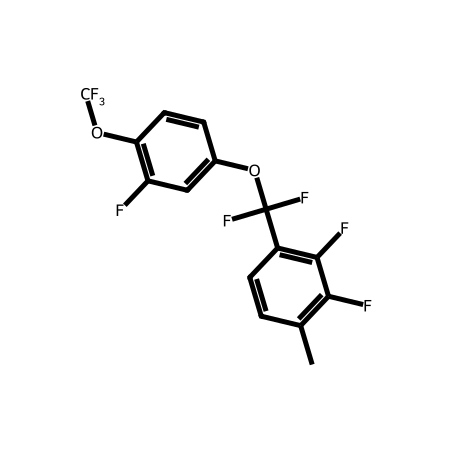 Cc1ccc(C(F)(F)Oc2ccc(OC(F)(F)F)c(F)c2)c(F)c1F